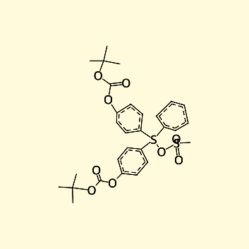 CC(C)(C)OC(=O)Oc1ccc(S(OS(C)(=O)=O)(c2ccccc2)c2ccc(OC(=O)OC(C)(C)C)cc2)cc1